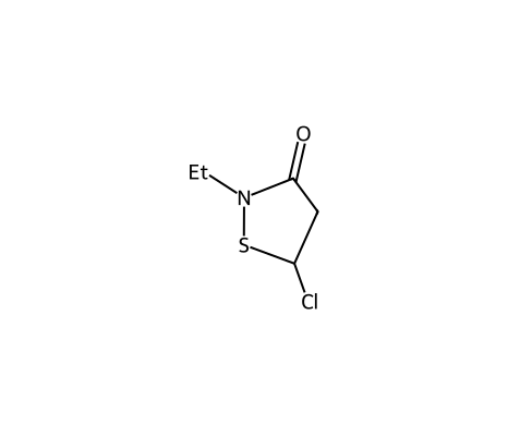 CCN1SC(Cl)CC1=O